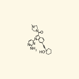 CN1CCN(C(=O)c2cn(-c3ccnc(N)n3)c3cc(C#CC4(O)CCCCC4)ccc23)CC1